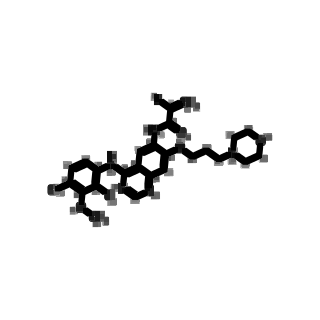 C=C(F)C(=O)Nc1cc2c(Nc3ccc(Cl)c(OC)c3Cl)ncnc2cc1OCCCN1CCOCC1